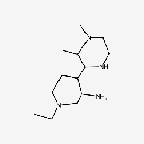 CCN1CCC(C2NCCN(C)C2C)C(N)C1